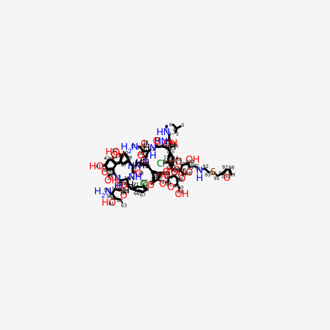 CN[C@H](CC(C)C)C(=O)NC1C(=O)N[C@@H](CC(N)=O)C(=O)N[C@H]2C(=O)N[C@H]3C(=O)N[C@H](C(=O)N[C@@H](C(=O)O)c4cc(O)cc(O)c4-c4cc3ccc4O)[C@H](OC3C[C@](C)(N)[C@@H](O)[C@H](C)O3)c3ccc(c(Cl)c3)Oc3cc2cc(c3O[C@@H]2O[C@H](CO)[C@@H](O[C@@H]3O[C@H](CNCCSCc4ccco4)[C@H](O)[C@H](O)[C@H]3O)[C@H](O)[C@H]2O)Oc2ccc(cc2Cl)[C@H]1O